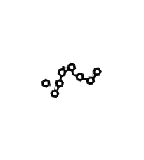 c1ccc(-n2c3ccccc3c3ccc(-c4ccc5oc6cccc(Cc7ccc(-c8cccc9c8oc8ccccc89)cc7)c6c5c4)cc32)cc1